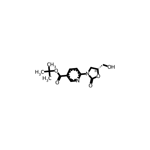 CC(C)(C)OC(=O)c1ccc(N2C[C@H](CO)OC2=O)nc1